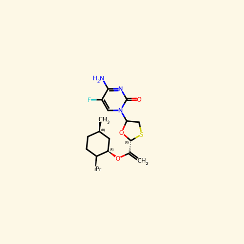 C=C(O[C@@H]1C[C@H](C)CCC1C(C)C)[C@@H]1OC(n2cc(F)c(N)nc2=O)CS1